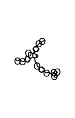 COCOc1ccc(C2(SC)COc3cc(OCOC)ccc3C2CCCOc2ccc(OCCOS(C)(=O)=O)cc2)cc1